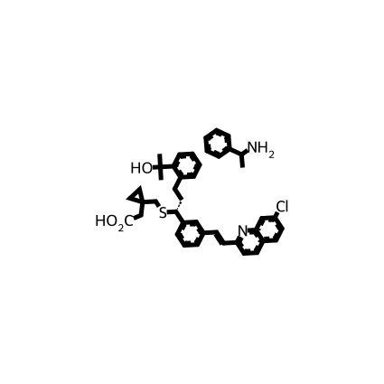 CC(C)(O)c1ccccc1CC[C@@H](SCC1(CC(=O)O)CC1)c1cccc(C=Cc2ccc3ccc(Cl)cc3n2)c1.CC(N)c1ccccc1